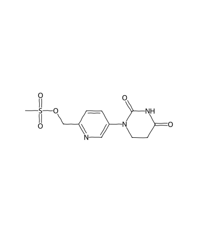 CS(=O)(=O)OCc1ccc(N2CCC(=O)NC2=O)cn1